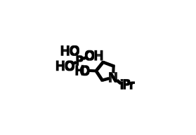 CC(C)N1CCC(O[PH](O)(O)O)C1